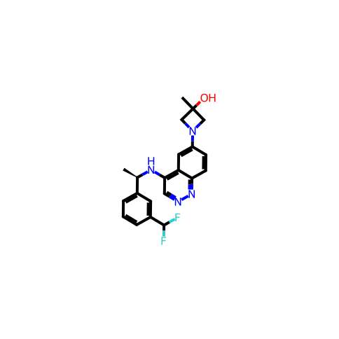 C[C@@H](Nc1cnnc2ccc(N3CC(C)(O)C3)cc12)c1cccc(C(F)F)c1